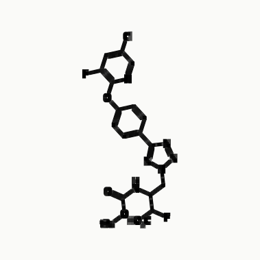 CC(C)(C)OC(=O)NC(Cn1nnc(-c2ccc(Oc3ncc(Cl)cc3F)cc2)n1)C(F)C(=O)O